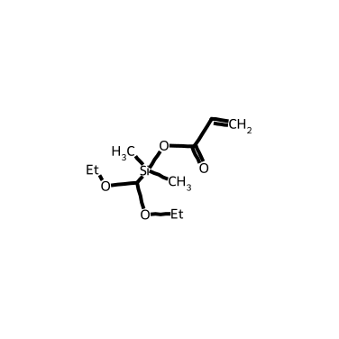 C=CC(=O)O[Si](C)(C)C(OCC)OCC